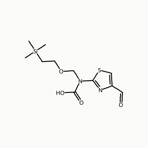 C[Si](C)(C)CCOCN(C(=O)O)c1nc(C=O)cs1